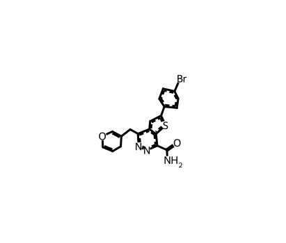 NC(=O)c1nnc(CC2=COC=CC2)c2cc(-c3ccc(Br)cc3)sc12